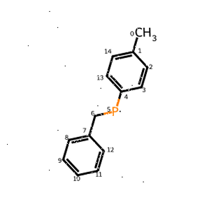 Cc1ccc([P]Cc2ccccc2)cc1